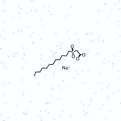 CCCCCCCCCCCCS(=O)(=O)CC(=O)[O-].[Na+]